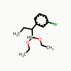 CCO[SiH](OCC)C(CC)c1cccc(Br)c1